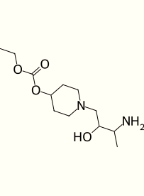 CCOC(=O)OC1CCN(CC(O)C(C)N)CC1